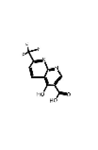 O=C(O)c1cnc2nc(C(F)(F)F)ccc2c1O